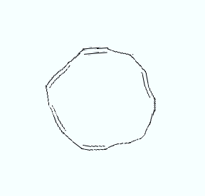 [CH]1C=CC=CC=CC=CCCC=C1